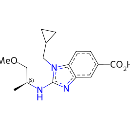 COC[C@H](C)Nc1nc2cc(C(=O)O)ccc2n1CC1CC1